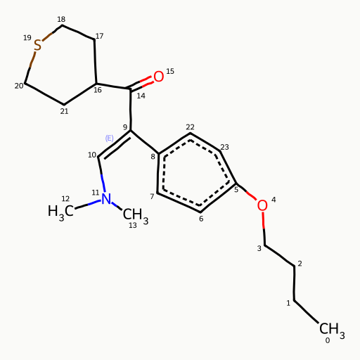 CCCCOc1ccc(/C(=C\N(C)C)C(=O)C2CCSCC2)cc1